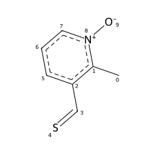 Cc1c(C=S)ccc[n+]1[O-]